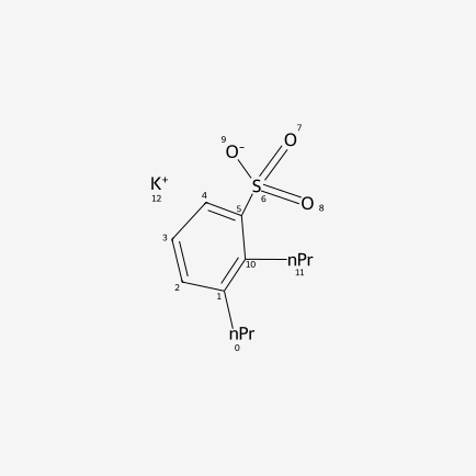 CCCc1cccc(S(=O)(=O)[O-])c1CCC.[K+]